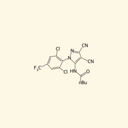 CCCCC(=O)Nc1c(C#N)c(C#N)nn1-c1c(Cl)cc(C(F)(F)F)cc1Cl